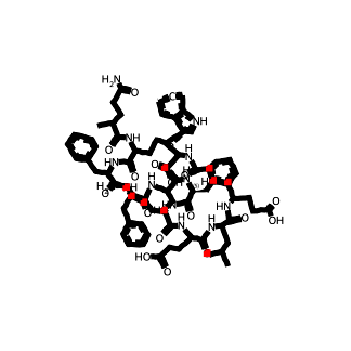 CSCCC(NC(=O)C(C)CCC(N)=O)C(=O)NC(Cc1ccccc1)C(=O)NC(Cc1ccccc1)C(=O)NC(CS)C(=O)N[C@@H](Cc1ccccc1)C(=O)NC(CCCCN)C(=O)NC(CCC(=O)O)C(=O)NC(CC(C)C)C(=O)NC(CCC(=O)O)C(=O)NCC(=O)NC(Cc1c[nH]c2ccccc12)C(=O)O